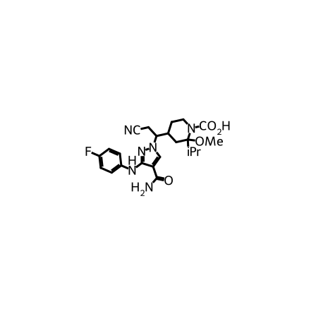 COC1(C(C)C)CC(C(CC#N)n2cc(C(N)=O)c(Nc3ccc(F)cc3)n2)CCN1C(=O)O